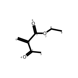 C=C(C(C)=O)C(=O)OCC